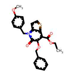 CCOC(=O)c1c(OCc2ccccc2)c(=O)n(Cc2ccc(OC)cc2)c2ccsc12